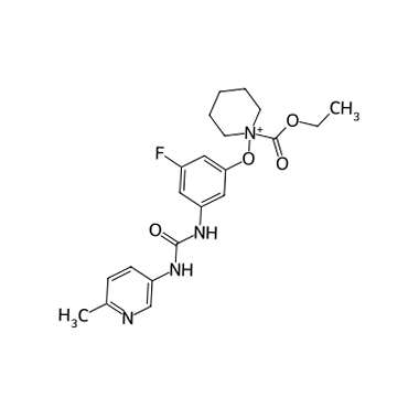 CCOC(=O)[N+]1(Oc2cc(F)cc(NC(=O)Nc3ccc(C)nc3)c2)CCCCC1